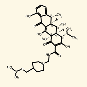 C[C@H]1c2cccc(O)c2C(=O)C2=C(O)[C@]3(O)C(=O)C(C(=O)NCN4CCC(CON(O)O)CC4)=C(O)[C@@H](N(C)C)[C@@H]3[C@@H](O)[C@@H]21